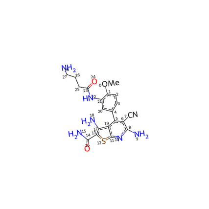 COc1ccc(-c2c(C#N)c(N)nc3sc(C(N)=O)c(N)c23)cc1NC(=O)CCCN